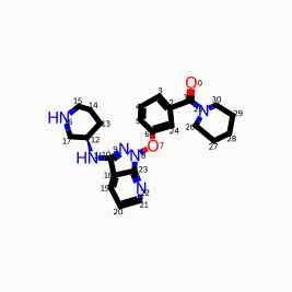 O=C(c1cccc(On2nc(N[C@@H]3CCCNC3)c3cccnc32)c1)N1CCCCC1